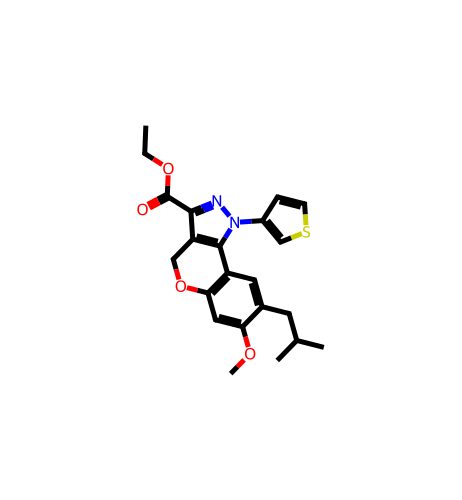 CCOC(=O)c1nn(-c2ccsc2)c2c1COc1cc(OC)c(CC(C)C)cc1-2